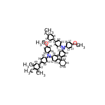 CCc1ccc(-c2ccc(N(c3ccc(OC)cc3)c3ccc(C4(c5ccc(N(c6ccc(OC)cc6)c6ccc(-c7cc(C)c(C)c(C)c7)cc6)cc5)CCCCC4)cc3)cc2)cc1